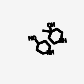 CC1(O)CCNCC1.OC1CCNCC1